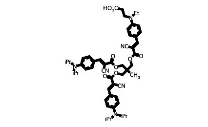 CCN(CCC(=O)O)c1ccc(/C=C(\C#N)C(=O)OCC(C)(COC(=O)/C(C#N)=C/c2ccc(N(C(C)C)C(C)C)cc2)COC(=O)/C(C#N)=C/c2ccc(N(C(C)C)C(C)C)cc2)cc1